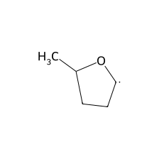 CC1CC[CH]O1